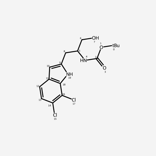 CC(C)(C)OC(=O)NC(CO)Cc1cc2ccc(Cl)c(Cl)c2[nH]1